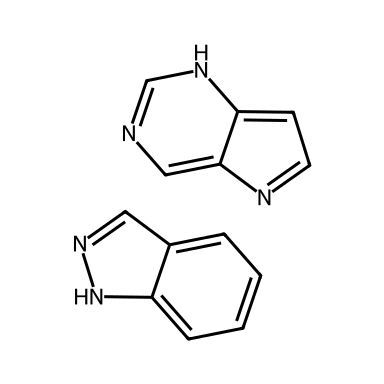 c1cc2[nH]cncc-2n1.c1ccc2[nH]ncc2c1